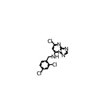 Clc1ccc(CNc2cc(Cl)nc3ncnn23)c(Cl)c1